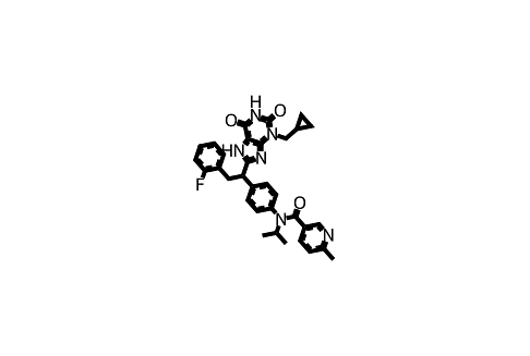 Cc1ccc(C(=O)N(c2ccc(C(Cc3ccccc3F)c3nc4c([nH]3)c(=O)[nH]c(=O)n4CC3CC3)cc2)C(C)C)cn1